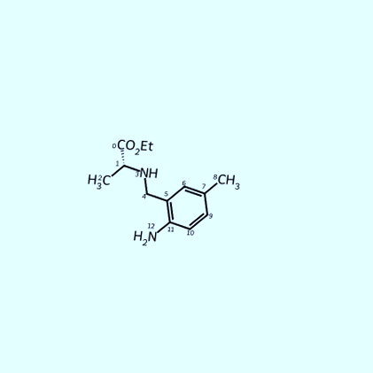 CCOC(=O)[C@@H](C)NCc1cc(C)ccc1N